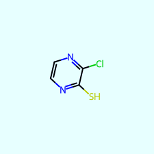 Sc1nccnc1Cl